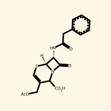 CC(=O)OCC1=CS[C@H]2[C@H](NC(=O)Cc3ccccc3)C(=O)N2C1C(=O)O